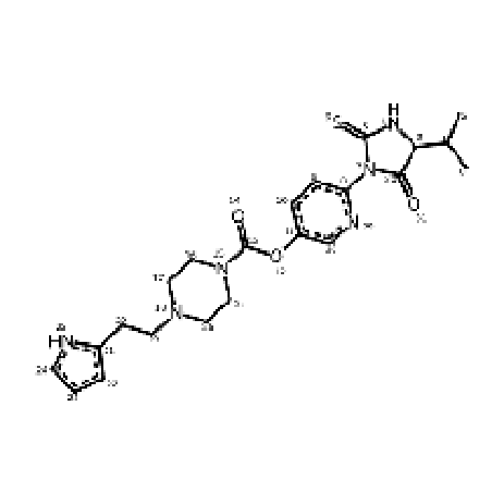 CC(C)C1NC(=S)N(c2ccc(OC(=O)N3CCN(CCc4ccc[nH]4)CC3)cn2)C1=O